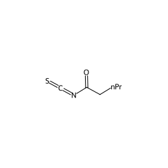 CCCCC(=O)N=C=S